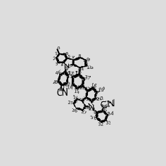 Cc1ccc2c(c1)C1=CC=CC(c3cccc(-c4cccc5c4C4C=CC=CC4N5c4ccccc4C#N)c3)C1N2c1ccc(C#N)cc1